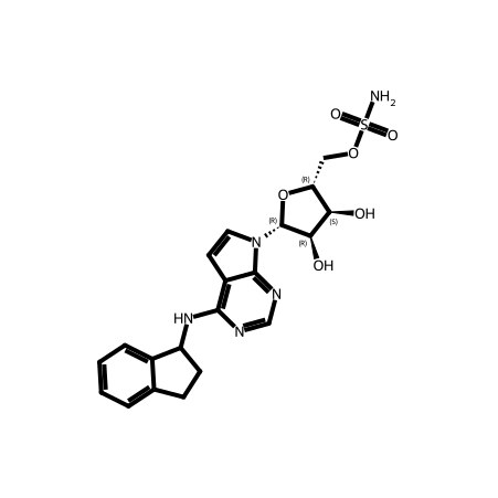 NS(=O)(=O)OC[C@H]1O[C@@H](n2ccc3c(NC4CCc5ccccc54)ncnc32)[C@H](O)[C@@H]1O